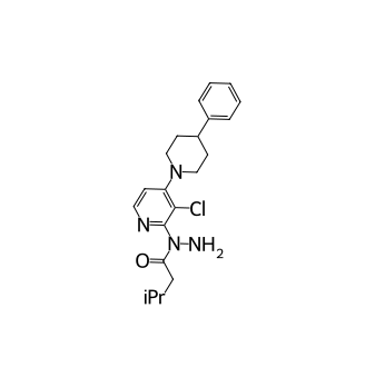 CC(C)CC(=O)N(N)c1nccc(N2CCC(c3ccccc3)CC2)c1Cl